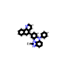 CCc1nc2cccc3c2n1-c1cc(-c2cc4ccccc4c4ncccc24)ccc1N3c1ccccc1